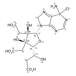 NC1(Cl)N=CN=C2C1=NCN2[C@@H]1O[C@H](C(O)CC(=O)O)[C@](O)(CC(=O)O)[C@]1(O)CC(=O)O